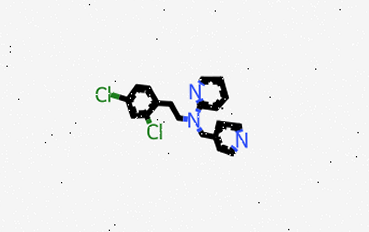 Clc1ccc(CCN(Cc2ccncc2)c2[c]cccn2)c(Cl)c1